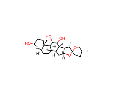 C[C@@H]1CC[C@@]2(OC1)O[C@H]1C[C@H]3[C@@H]4CC[C@H]5C[C@@H](O)CC[C@]5(C)[C@H]4[C@@H](O)[C@@H](O)[C@]3(C)[C@H]1[C@@H]2C